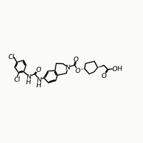 O=C(O)C[C@H]1CC[C@H](OC(=O)N2CCc3cc(NC(=O)Nc4ccc(Cl)cc4Cl)ccc3C2)CC1